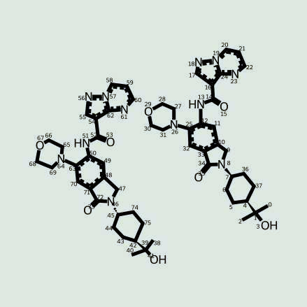 CC(C)(O)[C@H]1CC[C@@H](N2Cc3cc(NC(=O)c4cnn5cccnc45)c(N4CCOCC4)cc3C2=O)CC1.CC(C)(O)[C@H]1CC[C@H](N2Cc3cc(NC(=O)c4cnn5cccnc45)c(N4CCOCC4)cc3C2=O)CC1